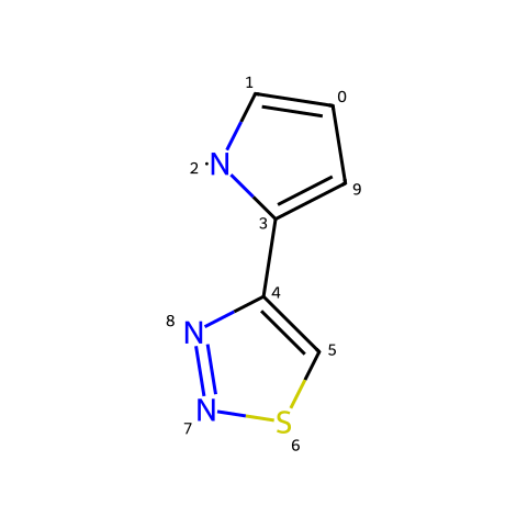 C1=C[N]C(c2csnn2)=C1